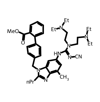 CCCc1nc2c(C)cc(NC(=NC#N)N(CCN(CC)CC)CCN(CC)CC)cc2n1Cc1ccc(-c2ccccc2C(=O)OC)cc1